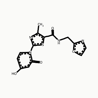 Cc1nc(-n2ccc(O)cc2=O)sc1C(=O)NCc1ncco1